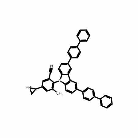 Cc1cc(C2CN2)cc(C#N)c1-n1c2ccc(-c3ccc(-c4ccccc4)cc3)cc2c2cc(-c3ccc(-c4ccccc4)cc3)ccc21